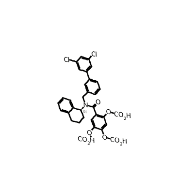 O=C(O)Oc1cc(OC(=O)O)c(C(=O)N(Cc2cccc(-c3cc(Cl)cc(Cl)c3)c2)[C@H]2CCCc3ccccc32)cc1OC(=O)O